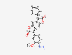 CCOc1cc(C2=c3cc4c(cc3OC2=O)=C(c2ccccc2)C(=O)O4)ccc1N